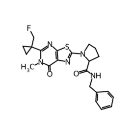 Cn1c(C2(CF)CC2)nc2sc(N3CCCC3C(=O)NCc3ccccc3)nc2c1=O